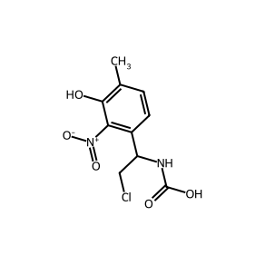 Cc1ccc(C(CCl)NC(=O)O)c([N+](=O)[O-])c1O